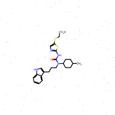 CC1CCC(N(CCCc2c[nH]c3ccccc23)C(=O)Nc2ncc(SCC(=O)O)s2)CC1